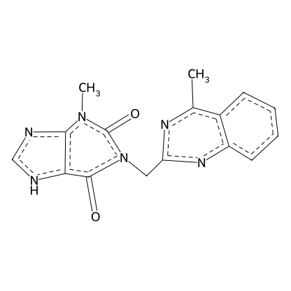 Cc1nc(Cn2c(=O)c3[nH]cnc3n(C)c2=O)nc2ccccc12